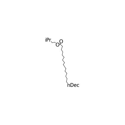 CCCCCCCCCCCCCCCCCCCCCCCCC(=O)OCCC(C)C